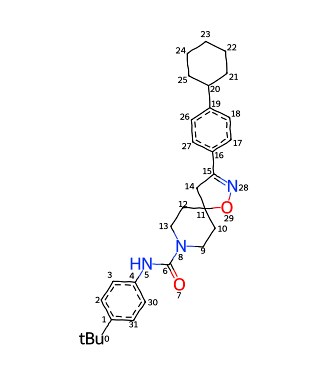 CC(C)(C)c1ccc(NC(=O)N2CCC3(CC2)CC(c2ccc(C4CCCCC4)cc2)=NO3)cc1